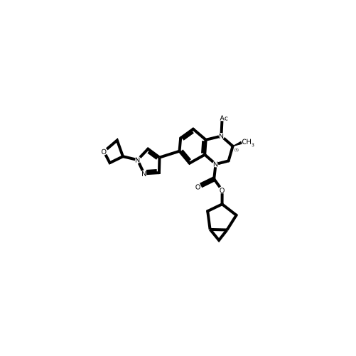 CC(=O)N1c2ccc(-c3cnn(C4COC4)c3)cc2N(C(=O)OC2CC3CC3C2)C[C@@H]1C